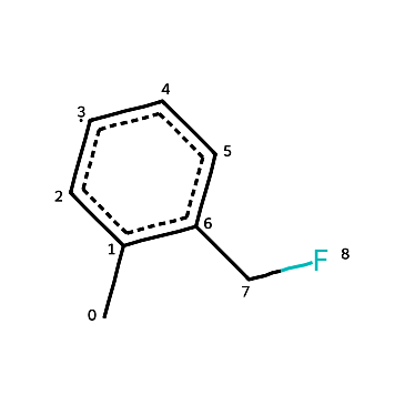 Cc1c[c]ccc1CF